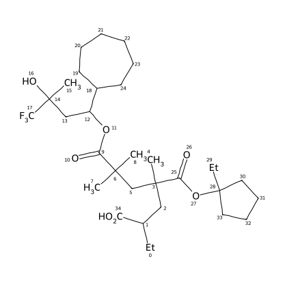 CCC(CC(C)(CC(C)(C)C(=O)OC(CC(C)(O)C(F)(F)F)C1CCCCCC1)C(=O)OC1(CC)CCCC1)C(=O)O